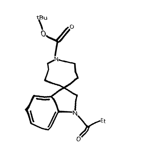 CCC(=O)N1CC2(CCN(C(=O)OC(C)(C)C)CC2)c2ccccc21